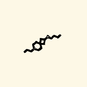 CCCCOC1CC2(CCN(CCC)CC2)C1